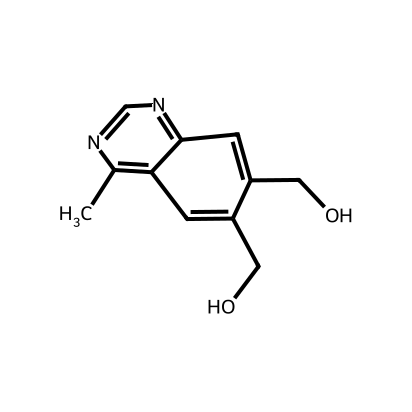 Cc1ncnc2cc(CO)c(CO)cc12